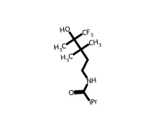 CC(C)C(=O)NCCC(C)(C)C(C)(O)C(F)(F)F